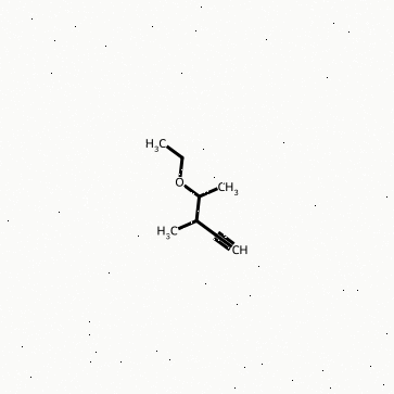 C#CC(C)C(C)OCC